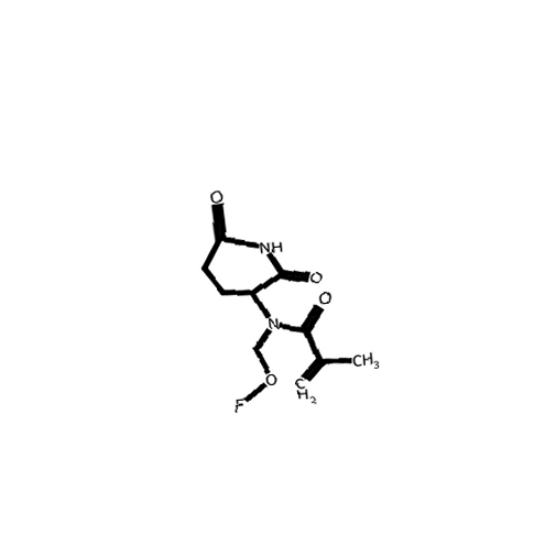 C=C(C)C(=O)N(COF)C1CCC(=O)NC1=O